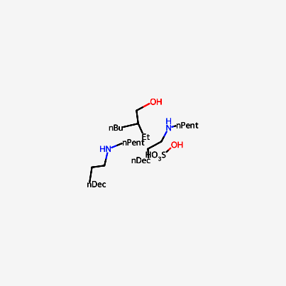 CCCCC(CC)CO.CCCCCCCCCCCCNCCCCC.CCCCCCCCCCCCNCCCCC.O=S(=O)(O)O